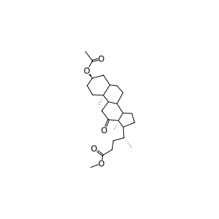 COC(=O)CC[C@@H](C)C1CCC2C3CCC4C[C@H](OC(C)=O)CC[C@]4(C)C3CC(=O)[C@@]21C